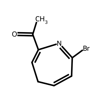 CC(=O)C1=CCC=CC(Br)=N1